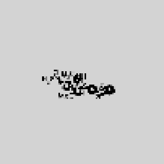 COC1=C(N2CCN(CCN(C)C)CC2)N(c2cc(C)[nH]n2)C(Sc2ccc(S(=O)(=O)Cc3ccccc3F)cc2)N=C1